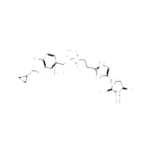 C[C@@H](NS(=O)(=O)CCc1ncc(N2CC(=O)NC2=O)[nH]1)c1ccc(F)c(OCC2CC2)c1